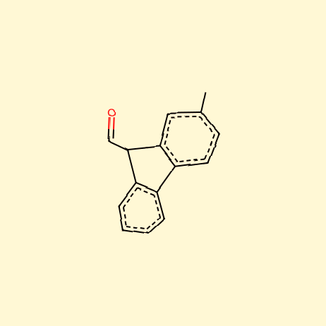 Cc1ccc2c(c1)C(C=O)c1ccccc1-2